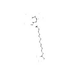 CC(=O)OC[C@H]1O[C@@H](OC(C)=O)C(OC(C)=O)[C@@H](OC(C)=O)C1OC(=O)CCCCCCCCCCCC(O)CO